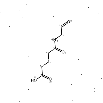 O=CCNC(=O)CCCC(=O)O